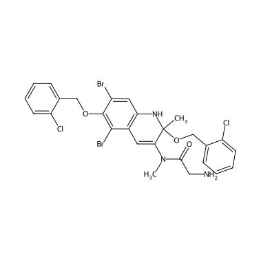 CN(C(=O)CN)C1=Cc2c(cc(Br)c(OCc3ccccc3Cl)c2Br)NC1(C)OCc1ccccc1Cl